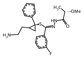 CO[C@@H](C)C(=O)N/N=C(\S[C@@]1(c2ccccc2)CC1CCN)c1cccc(F)c1